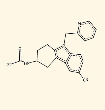 CC(C)C(=O)NC1CCc2c(c3cc(C#N)ccc3n2Cc2ccccn2)C1